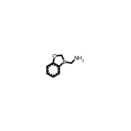 NCB1COc2ccccc21